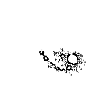 CC[C@H]1OC(=O)[C@H](C)[C@@H](C2C[C@@](C)(OC)[C@@H](O)[C@H](C)O2)[C@H](C)[C@@H](O[C@@H]2O[C@H](C)C[C@H](N(C)CCc3cn(CC(O)COc4ccc(-c5csnn5)cc4)nn3)[C@H]2O)[C@](C)(O)C[C@@H](C)CN(C)[C@H](C)[C@@H](O)[C@]1(C)O